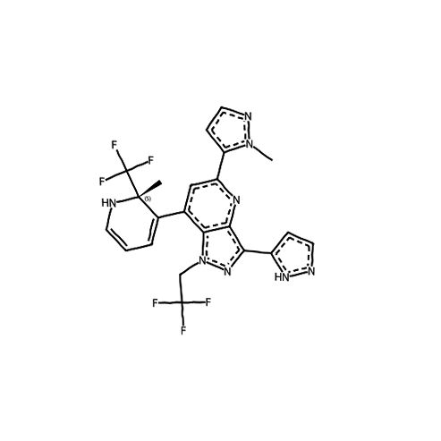 Cn1nccc1-c1cc(C2=CC=CN[C@]2(C)C(F)(F)F)c2c(n1)c(-c1ccn[nH]1)nn2CC(F)(F)F